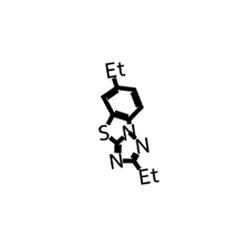 CCc1ccc2c(c1)sc1nc(CC)nn12